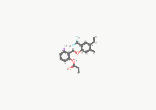 CCC(=O)Oc1cccc(I)c1COc1cc(C)c(CC)cc1C(F)F